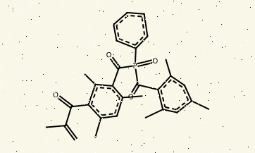 C=C(C)C(=O)c1c(C)cc(C)c(C(=O)P(=O)(C(=O)c2c(C)cc(C)cc2C)c2ccccc2)c1C